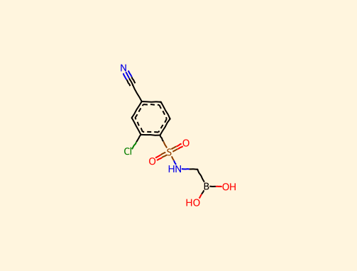 N#Cc1ccc(S(=O)(=O)NCB(O)O)c(Cl)c1